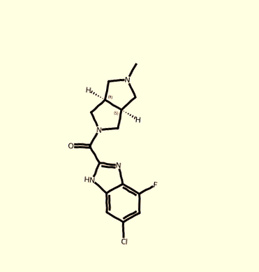 CN1C[C@@H]2CN(C(=O)c3nc4c(F)cc(Cl)cc4[nH]3)C[C@@H]2C1